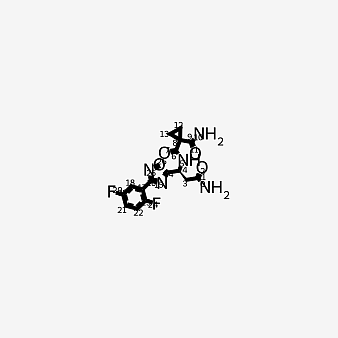 NC(=O)C[C@H](NC(=O)C1(C(N)=O)CC1)c1nc(-c2cc(F)ccc2F)no1